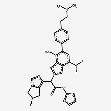 Cc1c(-c2ccc(CCN(C)C)cc2)cc(C(F)F)c2cn(C(C(=O)Nc3nccs3)c3ncn4c3C[C@@H](F)C4)nc12